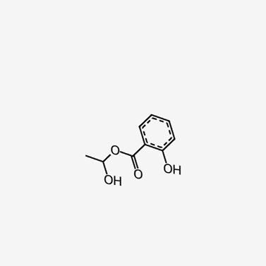 CC(O)OC(=O)c1ccccc1O